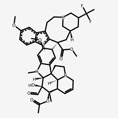 CC[C@]12C=CCN3CC[C@@]4(C5=CC([C@@]6(C(=O)OC)C[C@H]7CC(C(C)(F)F)CN(CCc8c6[nH]c6ccc(OC)cc86)C7)C(OC)C=C5N(C)[C@H]4[C@@](O)(C=O)[C@@H]1OC(C)=O)[C@@H]32